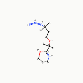 CC(C)(CCOC(C)(C)C1=NCCCO1)N=[N+]=[N-]